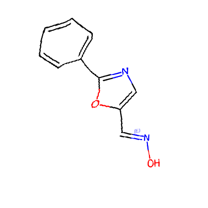 O/N=C/c1cnc(-c2ccccc2)o1